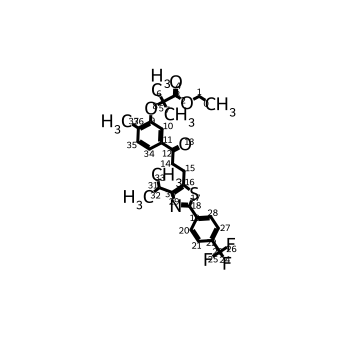 CCOC(=O)C(C)(C)Oc1cc(C(=O)CCc2sc(-c3ccc(C(F)(F)F)cc3)nc2C(C)C)ccc1C